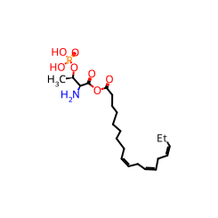 CC/C=C\C/C=C\C/C=C\CCCCCCCC(=O)OC(=O)[C@@H](N)[C@@H](C)OP(=O)(O)O